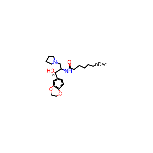 CCCCCCCCCCCCCCCC(=O)NC(CN1CCCC1)[C@@H](O)c1ccc2c(c1)OCCO2